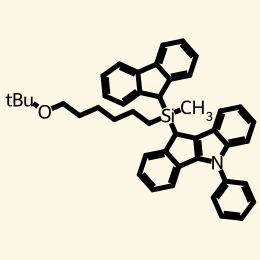 CC(C)(C)OCCCCCC[Si](C)(C1c2ccccc2-c2ccccc21)C1c2ccccc2-c2c1c1ccccc1n2-c1ccccc1